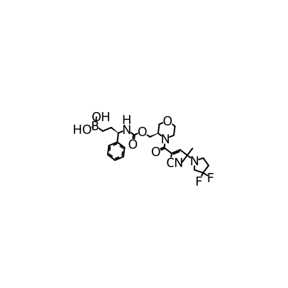 CC(C)(C=C(C#N)C(=O)N1CCOC[C@@H]1COC(=O)N[C@H](CCB(O)O)c1ccccc1)N1CCC(F)(F)C1